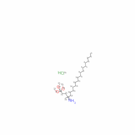 CCCCCCCCCCCCCCCCCCC(C)(N)CC[Si](OC)(OC)OC.Cl